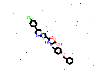 O=C(N[C@@H](Cc1ccc(OCc2ccccc2)cc1)C(=O)O)c1cn2cc(-c3ccc(Cl)cc3)cnc2n1